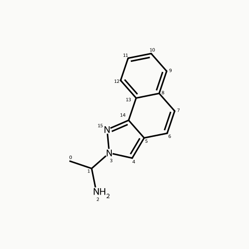 CC(N)n1cc2ccc3ccccc3c2n1